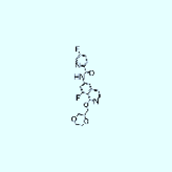 O=C(Nc1cc(F)c2c(OCC3COCCO3)nccc2c1)c1ccc(F)cn1